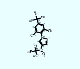 [O-][S+](c1cnn(-c2c(Cl)cc(C(F)(F)F)cc2Cl)c1)C(F)(Cl)Cl